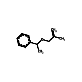 C=C(C)COC(C)c1[c]cccc1